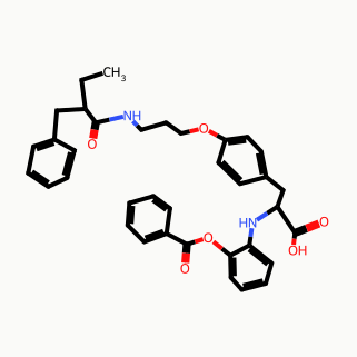 CCC(Cc1ccccc1)C(=O)NCCCOc1ccc(CC(Nc2ccccc2OC(=O)c2ccccc2)C(=O)O)cc1